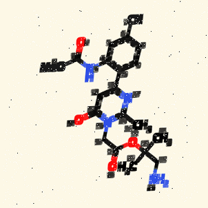 COC(=O)Nc1cc(C#N)ccc1-c1cc(=O)n(CC(=O)OC(C)(C)CN)c(C)n1